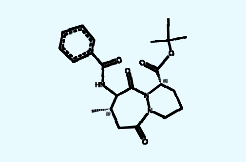 C[C@H]1CC(=O)N2CCC[C@@H](C(=O)OC(C)(C)C)N2C(=O)C1NC(=O)c1ccccc1